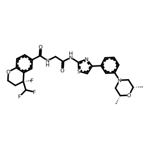 C[C@@H]1CN(c2cccc(-c3csc(NC(=O)CNC(=O)c4ccc5c(c4)[C@@](F)(C(F)F)CCO5)n3)c2)C[C@H](C)O1